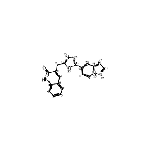 O=c1[nH]c2ccccc2cc1Cc1nnc(-c2ccn3ncnc3c2)o1